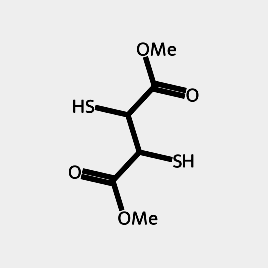 COC(=O)C(S)C(S)C(=O)OC